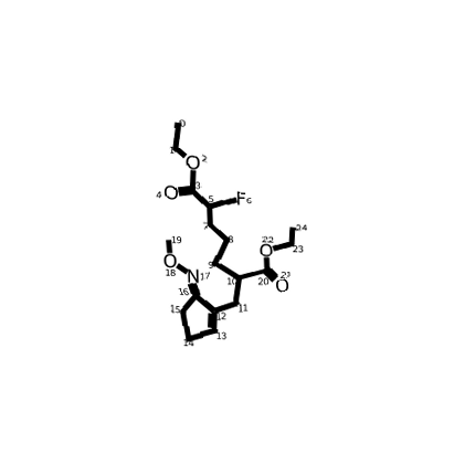 CCOC(=O)C(F)CCCC(CC1=CCCC1=NOC)C(=O)OCC